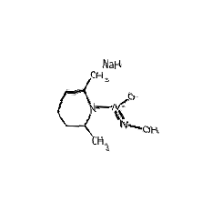 CC1CCCC(C)N1[N+]([O-])=NO.[NaH]